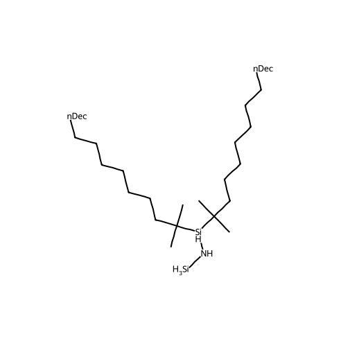 CCCCCCCCCCCCCCCCCC(C)(C)[SiH](N[SiH3])C(C)(C)CCCCCCCCCCCCCCCCC